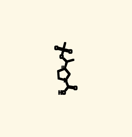 CC(OS(C)(=O)=O)[C@@H]1CCN(C(=O)O)C1